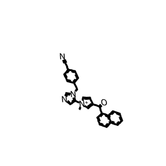 C[N+]1(c2cncn2Cc2ccc(C#N)cc2)C=CC(C(=O)c2cccc3ccccc23)=C1